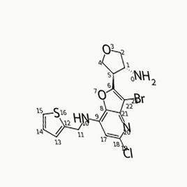 N[C@H]1COC[C@@H]1c1oc2c(NCc3cccs3)cc(Cl)nc2c1Br